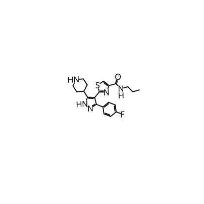 CCCNC(=O)c1csc(-c2c(-c3ccc(F)cc3)n[nH]c2C2CCNCC2)n1